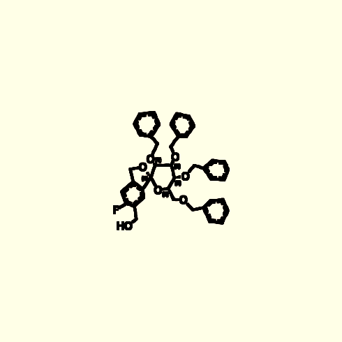 OCc1cc2c(cc1F)CO[C@]21O[C@H](COCc2ccccc2)[C@@H](OCc2ccccc2)[C@H](OCc2ccccc2)[C@H]1OCc1ccccc1